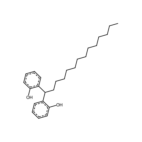 CCCCCCCCCCCCCC(c1ccccc1O)c1ccccc1O